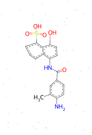 Cc1cc(C(=O)Nc2ccc(O)c3c(S(=O)(=O)O)cccc23)ccc1N